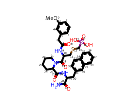 COc1cccc(CC(=O)NC(CSCP(=O)(O)O)C(=O)N2CCCCC2C(=O)NC(Cc2ccc3ccccc3c2)C(N)=O)c1